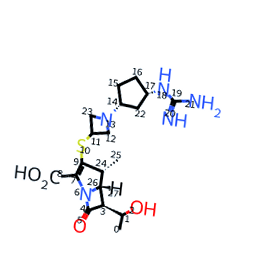 CC(O)[C@H]1C(=O)N2C(C(=O)O)=C(SC3CN([C@@H]4CC[C@H](NC(=N)N)C4)C3)[C@H](C)[C@H]12